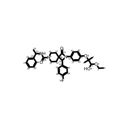 CCOC(O)C(C)(C)Oc1ccc(N2C(=O)C3(CCN(C(=O)NC(C)c4ccccc4)CC3)C2c2ccc(F)cc2)cc1